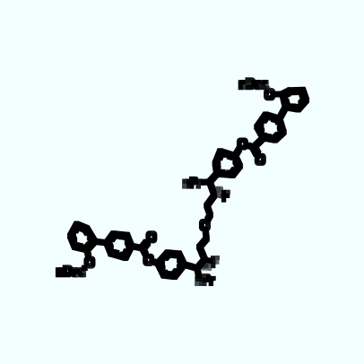 CCCCCCCCCCOc1ccccc1-c1ccc(C(=O)Oc2ccc(C(CCC)[C@H](F)CCOCC[C@@H](F)C(CCC)c3ccc(OC(=O)c4ccc(-c5ccccc5OCCCCCCCCCC)cc4)cc3)cc2)cc1